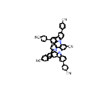 N#Cc1ccc(-c2ccc3c(c2)c2cc(-c4ccc(C#N)cc4)ccc2n3-c2cc(C#N)cc(-n3c4ccc(-c5ccc(C#N)cc5)cc4c4cc(-c5ccc(C#N)cc5)ccc43)c2-c2cccc(-c3ccccc3)n2)cc1